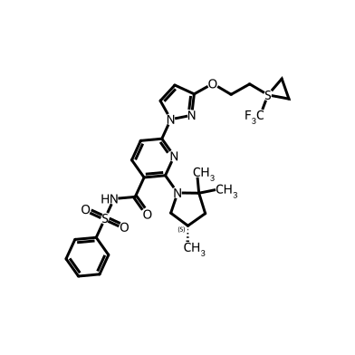 C[C@@H]1CN(c2nc(-n3ccc(OCCS4(C(F)(F)F)CC4)n3)ccc2C(=O)NS(=O)(=O)c2ccccc2)C(C)(C)C1